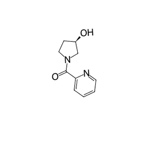 O=C(c1ccccn1)N1CC[C@@H](O)C1